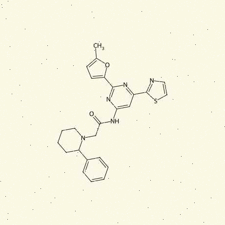 Cc1ccc(-c2nc(NC(=O)CN3CCCCC3c3ccccc3)cc(-c3nccs3)n2)o1